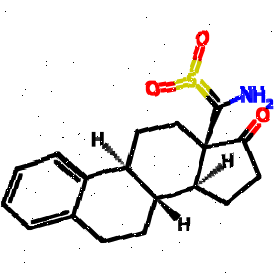 NC(=S(=O)=O)[C@]12CC[C@@H]3c4ccccc4CC[C@H]3[C@@H]1CCC2=O